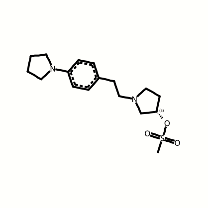 CS(=O)(=O)O[C@H]1CCN(CCc2ccc(N3CCCC3)cc2)C1